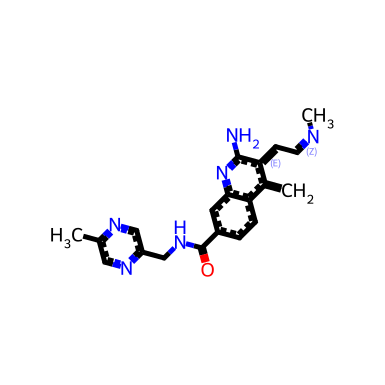 C=c1/c(=C\C=N/C)c(N)nc2cc(C(=O)NCc3cnc(C)cn3)ccc12